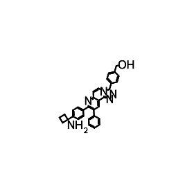 NC1(c2ccc(-c3nc4ccn5c(-c6ccc(CO)cc6)nnc5c4cc3-c3ccccc3)cc2)CCC1